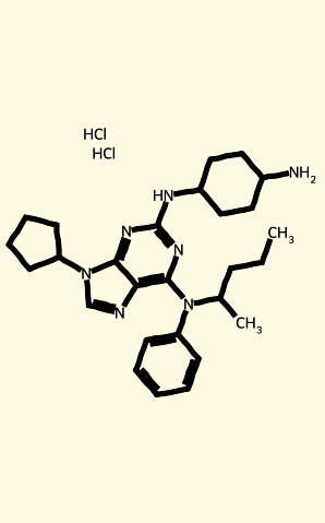 CCCC(C)N(c1ccccc1)c1nc(NC2CCC(N)CC2)nc2c1ncn2C1CCCC1.Cl.Cl